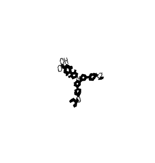 CCOc1ccc(-c2ccc3c(c2)c2cc(C4C=CC(OC(CC)CC)=CC4)ccc2n3-c2cc(C)c(-c3c(C)cc(C(=O)O)cc3C)c(C)c2)cc1